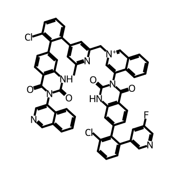 Cc1cc(-c2cccc(Cl)c2-c2ccc3c(=O)n(-c4cncc5ccccc45)c(=O)[nH]c3c2)cc(C[n+]2cc(-n3c(=O)[nH]c4cc(-c5c(Cl)cccc5-c5cncc(F)c5)ccc4c3=O)c3ccccc3c2)n1